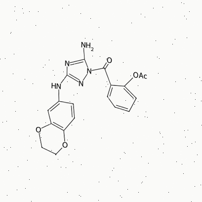 CC(=O)Oc1ccccc1C(=O)n1nc(Nc2ccc3c(c2)OCCO3)nc1N